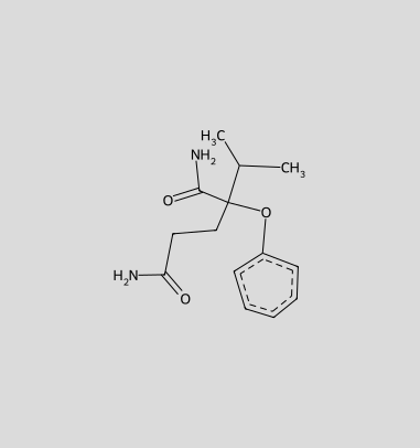 CC(C)C(CCC(N)=O)(Oc1ccccc1)C(N)=O